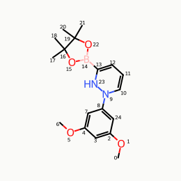 COc1cc(OC)cc(N2C=CC=C(B3OC(C)(C)C(C)(C)O3)N2)c1